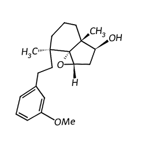 COc1cccc(CC[C@@]2(C)CCC[C@]3(C)[C@@H](O)C[C@@H]4O[C@]423)c1